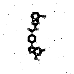 Nc1nc(F)nc2c1ncn2[C@H]1CC[C@@H](C(=O)Nc2nc3c(O)cccc3s2)CC1